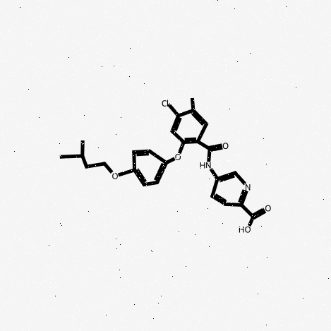 Cc1cc(C(=O)Nc2ccc(C(=O)O)nc2)c(Oc2ccc(OCCC(C)C)cc2)cc1Cl